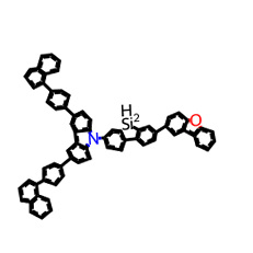 c1ccc2c(-c3ccc(-c4ccc5c(c4)c4cc(-c6ccc(-c7cccc8ccccc78)cc6)ccc4n5-c4ccc5c(c4)[SiH2]c4cc(-c6ccc7oc8ccccc8c7c6)ccc4-5)cc3)cccc2c1